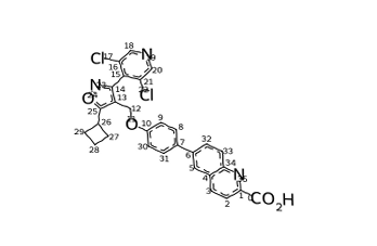 O=C(O)c1ccc2cc(-c3ccc(OCc4c(-c5c(Cl)cncc5Cl)noc4C4CCC4)cc3)ccc2n1